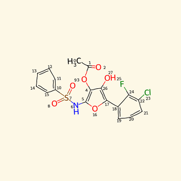 CC(=O)Oc1c(NS(=O)(=O)c2ccccc2)oc(-c2cccc(Cl)c2F)c1O